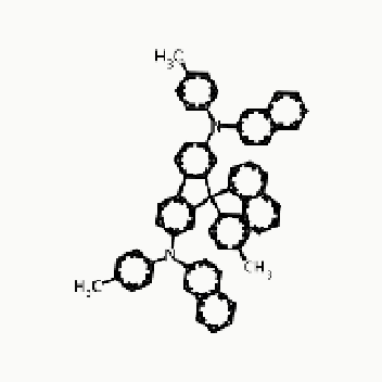 Cc1ccc(N(c2ccc3c(c2)C(c2ccc(C)cc2)(c2cccc4ccccc24)c2cc(N(c4ccc(C)cc4)c4ccc5ccccc5c4)ccc2-3)c2ccc3ccccc3c2)cc1